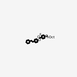 CCCCCCCCOc1ccc(C(=O)Oc2ccc(CCC3CC[CH]CC3)cc2)c(F)c1